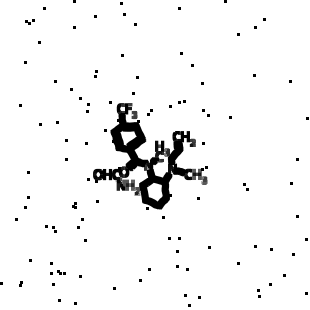 C=CCN(C)C1CCCCC1N(C)C(=O)c1ccc(C(F)(F)F)cc1.NC=O